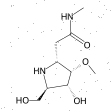 CNC(=O)C[C@H]1N[C@H](CO)[C@@H](O)[C@H]1OC